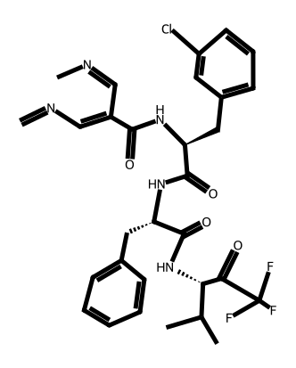 C=N/C=C(\C=N/C)C(=O)N[C@@H](Cc1cccc(Cl)c1)C(=O)N[C@@H](Cc1ccccc1)C(=O)N[C@H](C(=O)C(F)(F)F)C(C)C